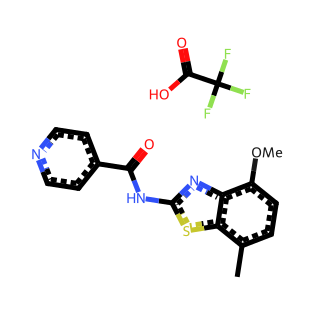 COc1ccc(C)c2sc(NC(=O)c3ccncc3)nc12.O=C(O)C(F)(F)F